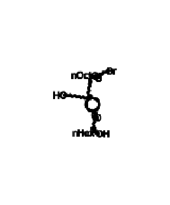 CCCCCCCCC(CCCCCCCC1CC2(CCCCCCCC(COC(=O)CCCCCN(CCO)CCCCCC)CCCCCCC2)C1CCCCCCCCCCO)COC(=O)CCCCCBr